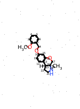 COc1ccccc1COc1ccc2c(c1)OC[C@@]1(C)NCC[C@@H]21